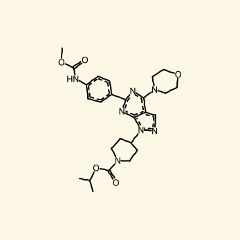 COC(=O)Nc1ccc(-c2nc(N3CCOCC3)c3cnn(C4CCN(C(=O)OC(C)C)CC4)c3n2)cc1